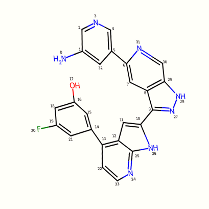 Nc1cncc(-c2cc3c(-c4cc5c(-c6cc(O)cc(F)c6)ccnc5[nH]4)n[nH]c3cn2)c1